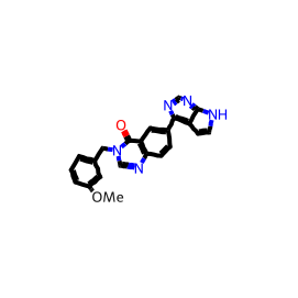 COc1cccc(Cn2cnc3ccc(-c4ncnc5[nH]ccc45)cc3c2=O)c1